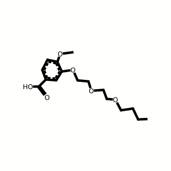 CCCCOCCOCCOc1cc(C(=O)O)ccc1OC